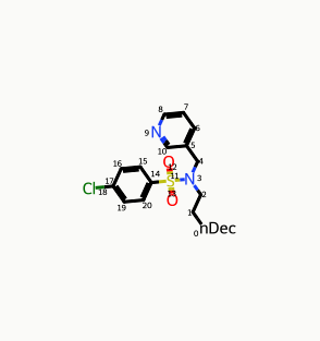 CCCCCCCCCCCCN(Cc1cccnc1)S(=O)(=O)c1ccc(Cl)cc1